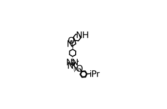 CC(C)c1cccc(O[C@H](C)c2nnc([C@H]3CC[C@H](C4=NOC5(CCNCC5)C4)CC3)n2C)c1